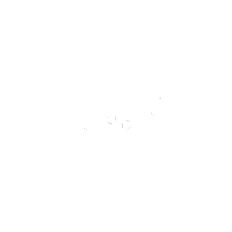 CCCOCCN(C)CCCOc1cccc(-c2cccc(OCCCN3CC[C@@H](O)C3)c2C)c1C